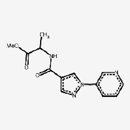 COC(=O)C(C)NC(=O)c1cnn(-c2cccnc2)c1